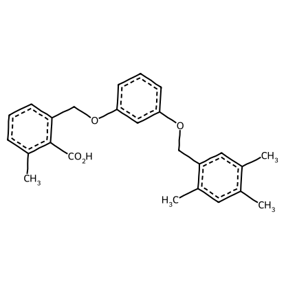 Cc1cc(C)c(COc2cccc(OCc3cccc(C)c3C(=O)O)c2)cc1C